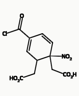 O=C(O)CC1C=C(C(=O)Cl)C=CC1(CC(=O)O)[N+](=O)[O-]